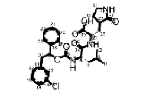 CC(C)C[C@H](NC(=O)OC(Cc1cccc(Cl)c1)c1ccccc1)C(=O)N[C@@H](CC1CCNC1=O)C(=O)O